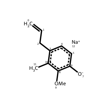 C=CCc1ccc([O-])c(OC)c1C.[Na+]